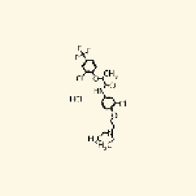 CCN(CC)CCOc1ccc(NC(=O)C(C)Oc2ccc(C(F)(F)F)cc2Cl)cc1Cl.Cl